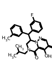 Cc1cccc(C(c2cccc(F)c2)C2CN(CC(C)C)C(=O)c3c(O)c(=O)cnn32)c1